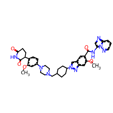 COc1cc2nn(C3CCC(CN4CCN(c5ccc(C6CCC(=O)NC6=O)c(OC)c5)CC4)CC3)cc2cc1C(=O)Nc1cnc2cccnn12